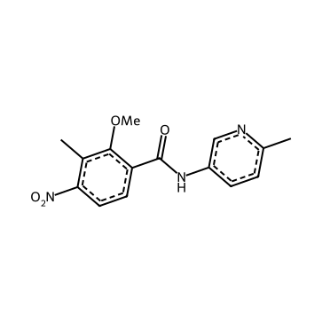 COc1c(C(=O)Nc2ccc(C)nc2)ccc([N+](=O)[O-])c1C